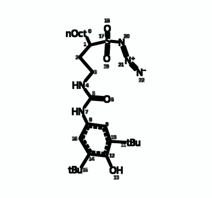 CCCCCCCCC(CCNC(=O)Nc1cc(C(C)(C)C)c(O)c(C(C)(C)C)c1)S(=O)(=O)N=[N+]=[N-]